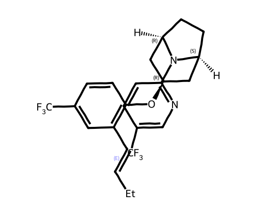 CC/C=C/c1cc(C(F)(F)F)ccc1O[C@H]1C[C@H]2CC[C@@H](C1)N2c1ccc(C(F)(F)F)cn1